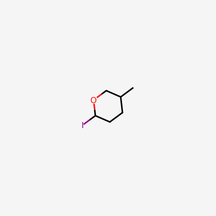 CC1CCC(I)OC1